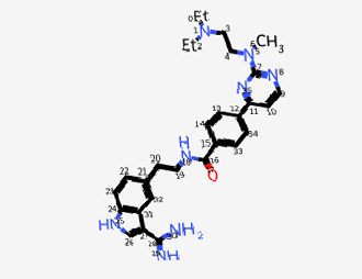 CCN(CC)CCN(C)c1nccc(-c2ccc(C(=O)NCCc3ccc4[nH]cc(C(=N)N)c4c3)cc2)n1